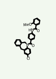 COc1ccccc1C(=O)Nc1ccc(C(=O)N2Cc3ccccc3Cc3cc(Cl)ccc32)cc1